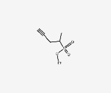 C#CCC(C)S(=O)(=O)OCC